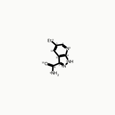 CCc1cnc2[nH]nc(C(N)=O)c2c1